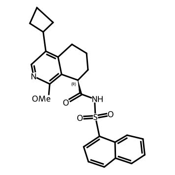 COc1ncc(C2CCC2)c2c1[C@H](C(=O)NS(=O)(=O)c1cccc3ccccc13)CCC2